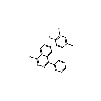 Cc1ccc(F)c(F)c1.Sc1nnc(-c2ccccc2)c2ccccc12